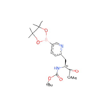 COC(=O)[C@H](Cc1ccc(B2OC(C)(C)C(C)(C)O2)cn1)NC(=O)OC(C)(C)C